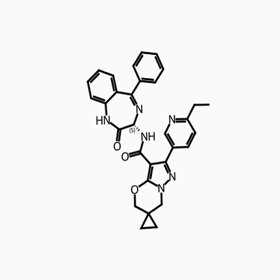 CCc1ccc(-c2nn3c(c2C(=O)N[C@H]2N=C(c4ccccc4)c4ccccc4NC2=O)OCC2(CC2)C3)cn1